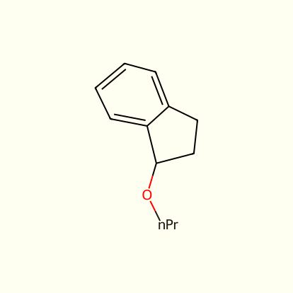 [CH2]CCOC1CCc2ccccc21